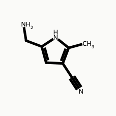 Cc1[nH]c(CN)cc1C#N